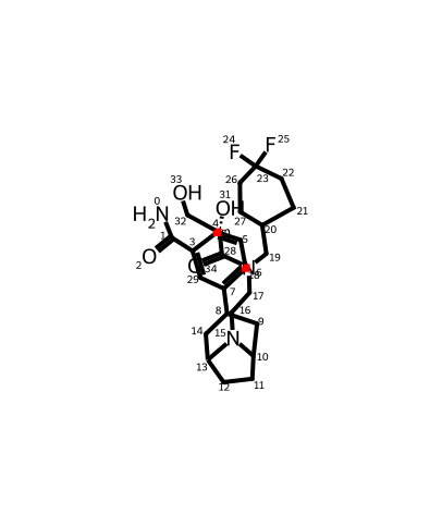 NC(=O)c1cccc(C2CC3CCC(C2)N3CCN(CC2CCC(F)(F)CC2)C(=O)[C@@H](O)CO)c1